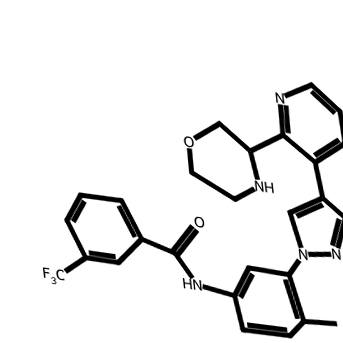 Cc1ccc(NC(=O)c2cccc(C(F)(F)F)c2)cc1-n1cc(-c2cccnc2C2COCCN2)cn1